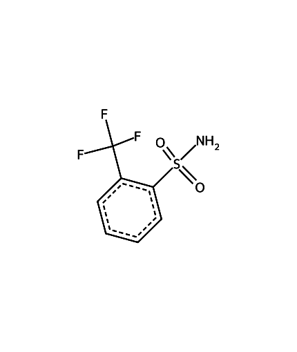 NS(=O)(=O)c1ccccc1C(F)(F)F